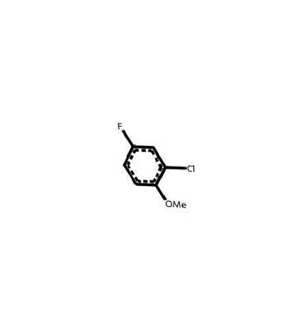 COc1[c]cc(F)cc1Cl